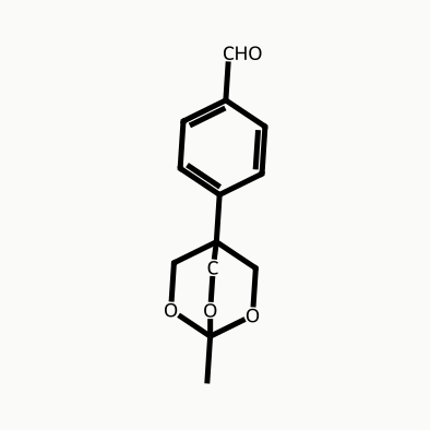 CC12OCC(c3ccc(C=O)cc3)(CO1)CO2